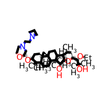 CCO[C@@H]([C@H]1C[C@@H](C)[C@H]2[C@H](O1)[C@H](O)[C@@]1(C)[C@@H]3CC[C@H]4C(C)(C)[C@@H](O[C@H]5CN(CCN6CCC6)CCO5)CC[C@@]45C[C@@]35CC[C@]21C)C(C)(C)O